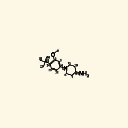 COc1cc(N2CCC(N)CC2)ccc1C(C)(C)C